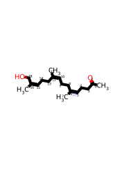 CC(=O)CC/C=C(/C)CCC=C(C)CCC=C(C)CO